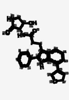 O=C(CCc1c(-c2ccccc2)[nH]c2c(C3=CCOC3)cccc12)N[C@@H]1C(=O)NC[C@H]1O